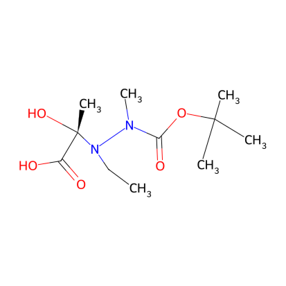 CCN(N(C)C(=O)OC(C)(C)C)[C@@](C)(O)C(=O)O